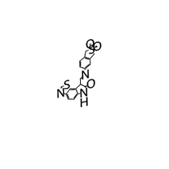 O=C1Nc2ccc3ncsc3c2C1C=Nc1ccc2c(c1)CS(=O)(=O)C2